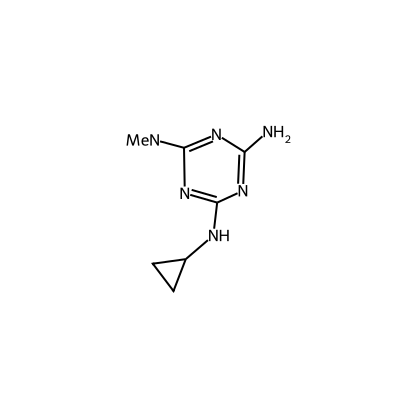 CNc1nc(N)nc(NC2CC2)n1